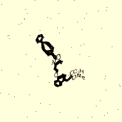 CO[C@@H](Cc1ccc(OCCc2nc(-c3ccc(-c4ccccc4)cc3)oc2C)c2ccccc12)C(=O)O